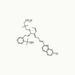 C/C=C\C(=C/C/C=C/c1ccc2ccc(Cl)cc2n1)[C@@H](CCc1ccccc1C(C)(C)O)SCC(C)(C)CC(=O)O